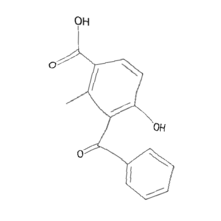 Cc1c(C(=O)O)ccc(O)c1C(=O)c1ccccc1